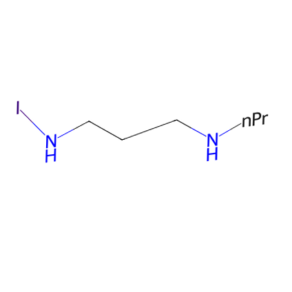 CCCNCCCNI